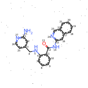 Nc1cc(CNc2ccccc2C(=O)Nc2cc3ccccc3cn2)ccn1